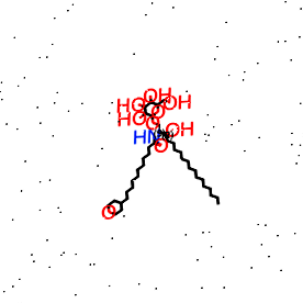 CCCCCCCCCCCCCCC[C@@H](O)[C@H](COC1OC(CO)C(O)C(O)C1O)NC(=O)CCCCCCCCCCC1CCOCC1